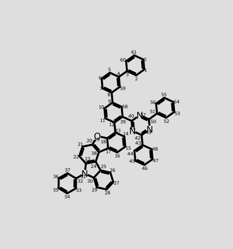 c1ccc(-c2cccc(-c3ccc(-c4cccc5c4oc4ccc6c(c7ccccc7n6-c6ccccc6)c45)c(-c4nc(-c5ccccc5)nc(-c5ccccc5)n4)c3)c2)cc1